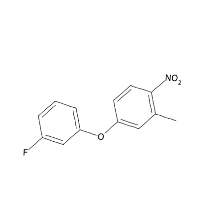 Cc1cc(Oc2cccc(F)c2)ccc1[N+](=O)[O-]